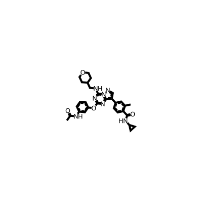 CC(=O)Nc1cccc(Oc2nc(NCC3CCOCC3)n3ncc(-c4ccc(C(=O)NC5CC5)c(C)c4)c3n2)c1